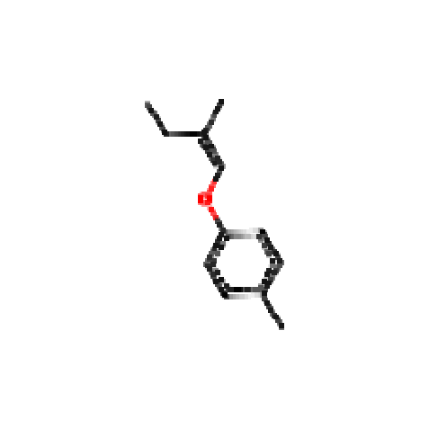 CC/C(C)=C\Oc1ccc(C)cc1